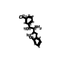 CC(Cc1ccccc1Cl)[C@@H](N)[C@H](O)c1cccc(Cl)c1